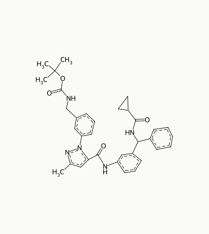 Cc1cc(C(=O)Nc2cccc(C(NC(=O)C3CC3)c3ccccc3)c2)n(-c2cccc(CNC(=O)OC(C)(C)C)c2)n1